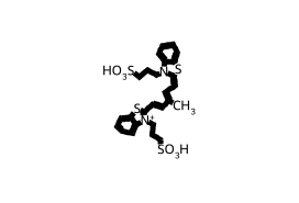 CC(C=Cc1sc2ccccc2[n+]1CCCS(=O)(=O)O)=CC=C1Sc2ccccc2N1CCCS(=O)(=O)O